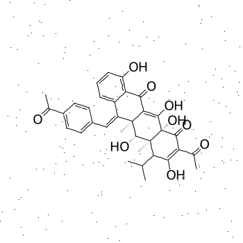 CC(=O)C1=C(O)C(C(C)C)[C@@]2(C)[C@H](O)[C@]3(C)C(=C(O)[C@@]2(O)C1=O)C(=O)c1c(O)cccc1/C3=C\c1ccc(C(C)=O)cc1